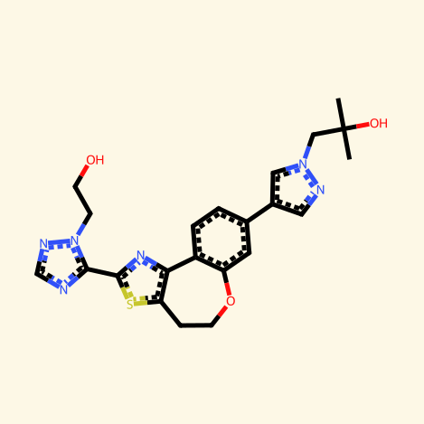 CC(C)(O)Cn1cc(-c2ccc3c(c2)OCCc2sc(-c4ncnn4CCO)nc2-3)cn1